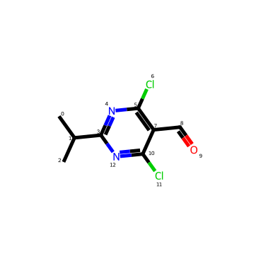 CC(C)c1nc(Cl)c(C=O)c(Cl)n1